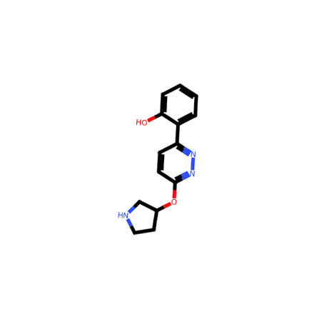 Oc1ccccc1-c1ccc(OC2CCNC2)nn1